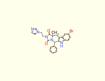 CC12Cc3c([nH]c4ccc(Br)cc34)C(c3ccccc3)N1C(=O)N(CCn1ccnc1)C2=O